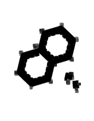 [Al].[K].c1ccc2ccccc2c1